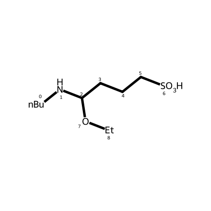 CCCCNC(CCCS(=O)(=O)O)OCC